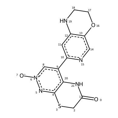 O=C1CSc2n[n+]([O-])[c]c(-c3cc4c(cn3)OCCN4)c2N1